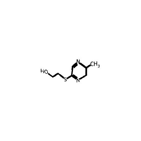 CC1CN=C(SCCO)C=N1